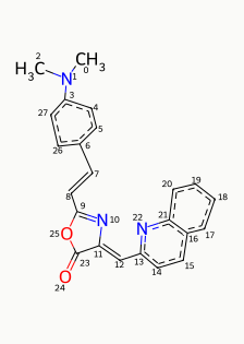 CN(C)c1ccc(C=CC2=NC(=Cc3ccc4ccccc4n3)C(=O)O2)cc1